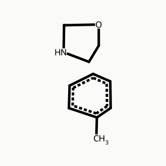 C1COCN1.Cc1ccccc1